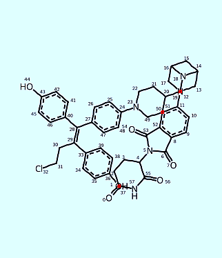 O=C1CCC(N2C(=O)c3ccc(N4CC5CC(C4)N5CC4CCN(c5ccc(C(=C(CCCl)c6ccc(O)cc6)c6ccc(O)cc6)cc5)CC4)cc3C2=O)C(=O)N1